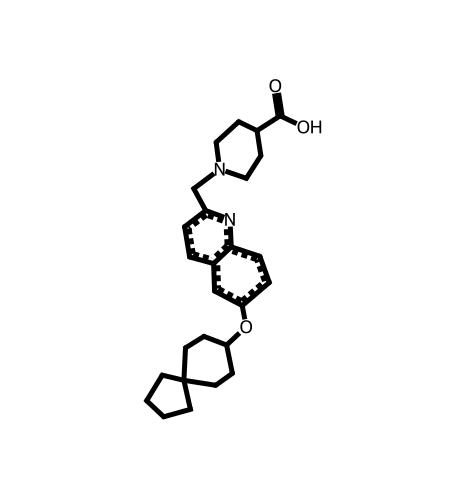 O=C(O)C1CCN(Cc2ccc3cc(OC4CCC5(CCCC5)CC4)ccc3n2)CC1